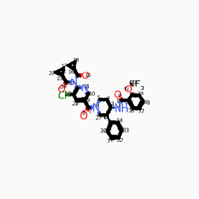 O=C(N[C@@H]1CCN(C(=O)c2cnc(N(C(=O)C3CC3)C(=O)C3CC3)c(Cl)c2)C[C@@H]1c1ccccc1)c1ccccc1OC(F)(F)F